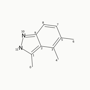 CC1=c2c(C)c(C)ccc2=N[N]1